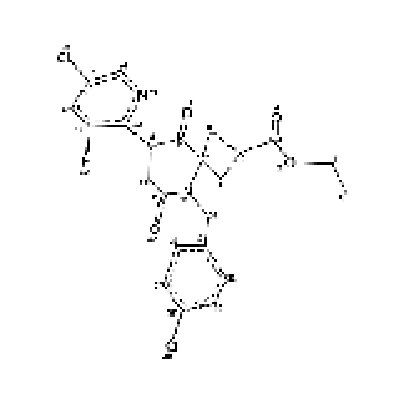 CCOC(=O)C1CC2(C1)C(=O)N(c1ncc(Cl)cc1F)CC(=O)N2Cc1ccc(Cl)cc1